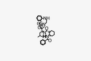 CC(C)C[C@H](NC(=O)[C@@H]1CCCC[C@@H]1NC(=O)c1ccccc1)C(=O)CN1CCNc2ccccc2S1(=O)=O